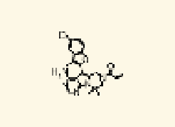 C=CC(=O)N1Cc2c(-c3oc4ccc(Cl)cc4c3C)c3c(N)ncnc3n2C(C)(C)C1